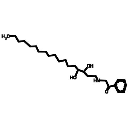 CCCCCCCCCCCCCCC(O)C(O)CCNCC(=O)c1ccccc1